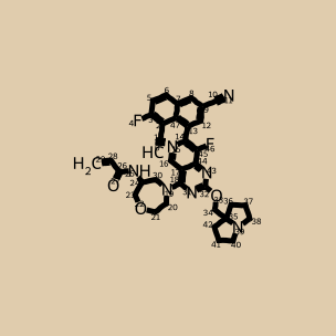 C#Cc1c(F)ccc2cc(C#N)cc(-c3ncc4c(N5CCOCC(NC(=O)C=C)C5)nc(OCC56CCCN5CCC6)nc4c3F)c12